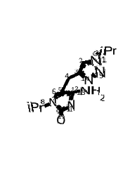 CC(C)n1cc(Cc2cn(C(C)C)c(=O)nc2N)nn1